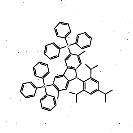 Cc1cc2c(cc1[Si](c1ccccc1)(c1ccccc1)c1ccccc1)-c1cc([Si](c3ccccc3)(c3ccccc3)c3ccccc3)c(C)cc1B2c1c(C(C)C)cc(C(C)C)cc1C(C)C